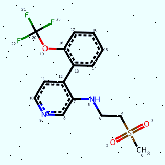 CS(=O)(=O)CCNc1cnccc1-c1ccccc1OC(F)(F)F